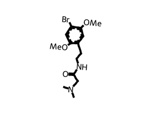 COc1cc(CCNC(=O)CN(C)C)c(OC)cc1Br